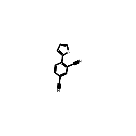 N#Cc1ccc(-c2c[c]cs2)c(C#N)c1